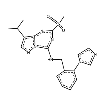 CC(C)c1cnn2c(NCc3ccccc3-n3ccnc3)nc(S(C)(=O)=O)nc12